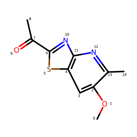 COc1cc2sc(C(C)=O)nc2nc1C